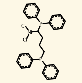 [Cl][Ni]([Cl])[CH](CCCP(c1ccccc1)c1ccccc1)P(c1ccccc1)c1ccccc1